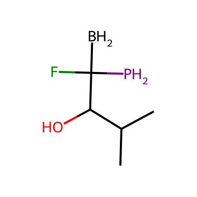 BC(F)(P)C(O)C(C)C